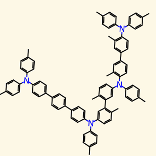 Cc1ccc(N(c2ccc(C)cc2)c2ccc(-c3ccc(-c4ccc(N(c5ccc(C)cc5)c5ccc(C)c(-c6cc(N(c7ccc(C)cc7)c7ccc(-c8ccc(N(c9ccc(C)cc9)c9ccc(C)cc9)c(C)c8)cc7C)ccc6C)c5)cc4)cc3)cc2)cc1